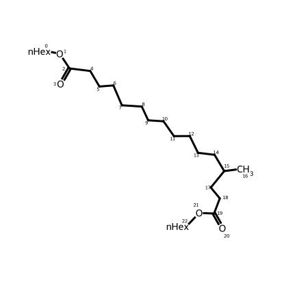 CCCCCCOC(=O)CCCCCCCCCCCC(C)CCC(=O)OCCCCCC